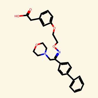 O=C(O)Cc1cccc(OCCON=C(CN2CCOCC2)c2ccc(-c3ccccc3)cc2)c1